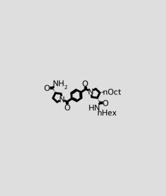 CCCCCCCC[C@H]1CN(C(=O)c2ccc(C(=O)N3CC[C@H](C(N)=O)C3)cc2)C[C@H]1C(=O)NCCCCCC